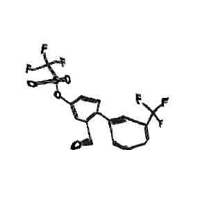 O=Cc1cc(OS(=O)(=O)C(F)(F)F)ccc1-c1cccc(C(F)(F)F)c1